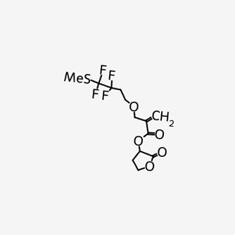 C=C(COCCC(F)(F)C(F)(F)SC)C(=O)OC1CCOC1=O